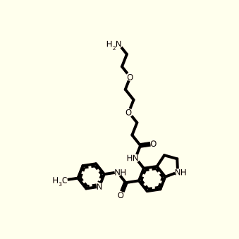 Cc1ccc(NC(=O)c2ccc3c(c2NC(=O)CCOCCOCCN)CCN3)nc1